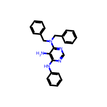 Nc1c(Nc2c[c]ccc2)ncnc1N(Cc1ccccc1)Cc1ccccc1